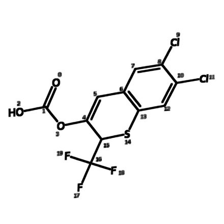 O=C(O)OC1=Cc2cc(Cl)c(Cl)cc2SC1C(F)(F)F